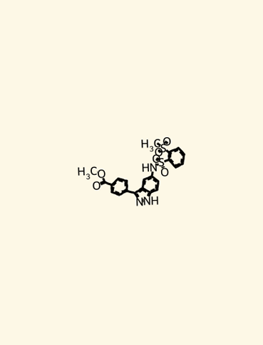 COC(=O)c1ccc(-c2n[nH]c3ccc(NS(=O)(=O)c4ccccc4S(C)(=O)=O)cc23)cc1